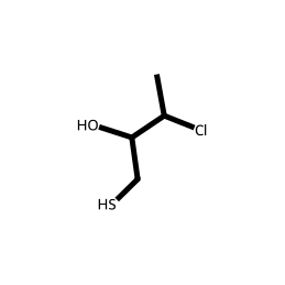 CC(Cl)C(O)CS